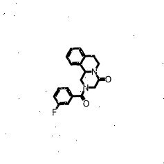 O=C(c1cccc(F)c1)N1CC(=O)N2CCc3ccccc3C2C1